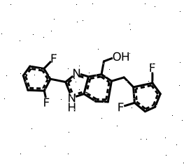 OCc1c(Cc2c(F)cccc2F)ccc2[nH]c(-c3c(F)cccc3F)nc12